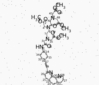 COC(=O)CN(CCN(CC(=O)Nc1ccc(C#Cc2ccc3ccc4cccnc4c3n2)cc1)CC(=O)OC)CCN(CC(=O)OC)CC(=O)OC